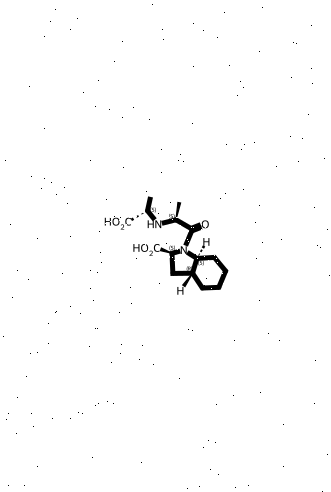 C[C@H](N[C@@H](C)C(=O)N1[C@H](C(=O)O)C[C@H]2CCCC[C@@H]21)C(=O)O